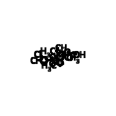 CC1CCC2[C@@H]1[C@H](OC(=O)c1ccc(Cl)c(Cl)c1)C1(C(C)C)CC(OC(=O)CO)C2(C)O1